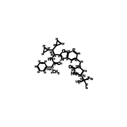 C[C@@H](C(=O)N[C@H](c1nc2cc(CN3C[C@@H](C(F)(F)F)NC3=O)ccc2o1)C(C1CC1)C1CC1)c1ccccc1